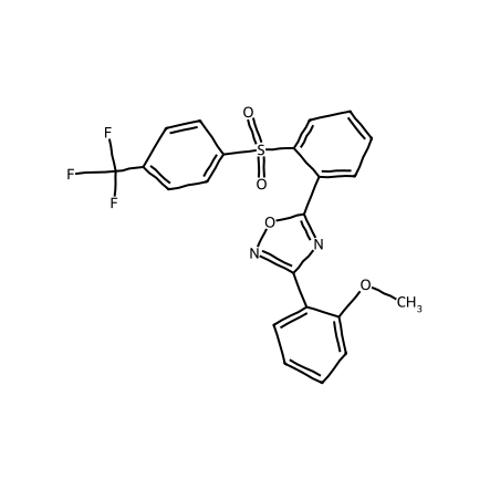 COc1ccccc1-c1noc(-c2ccccc2S(=O)(=O)c2ccc(C(F)(F)F)cc2)n1